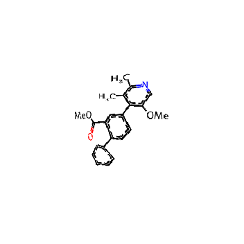 COC(=O)c1cc(-c2c(OC)cnc(C)c2C)ccc1-c1ccccc1